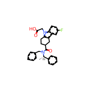 C[C@@H](c1ccccc1)N(Cc1ccccc1)C(=O)C1CCc2c(c3cc(F)ccc3n2CC(=O)O)C1